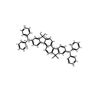 CC1(C)c2cc(N(c3ccncc3)c3ccccn3)ccc2-c2c1ccc1c3c(ccc21)C(C)(C)c1cc(N(c2ccncc2)c2ccccn2)ccc1-3